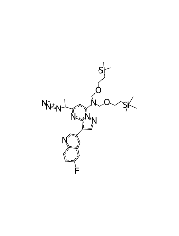 CC(N=[N+]=[N-])c1cc(N(COCC[Si](C)(C)C)COCC[Si](C)(C)C)n2ncc(-c3cnc4ccc(F)cc4c3)c2n1